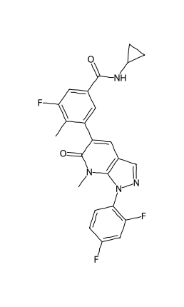 Cc1c(F)cc(C(=O)NC2CC2)cc1-c1cc2cnn(-c3ccc(F)cc3F)c2n(C)c1=O